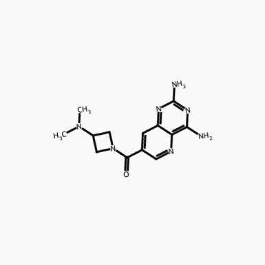 CN(C)C1CN(C(=O)c2cnc3c(N)nc(N)nc3c2)C1